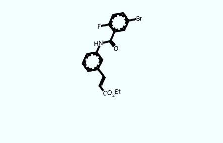 CCOC(=O)C=Cc1cccc(NC(=O)c2cc(Br)ccc2F)c1